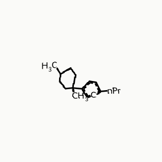 CCCc1ccc(C2(C)CCC(C)CC2)cc1